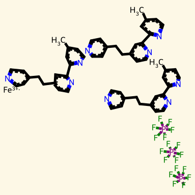 Cc1ccnc(-c2cc(CCc3ccncc3)ccn2)c1.Cc1ccnc(-c2cc(CCc3ccncc3)ccn2)c1.Cc1ccnc(-c2cc(CCc3ccncc3)ccn2)c1.F[P-](F)(F)(F)(F)F.F[P-](F)(F)(F)(F)F.F[P-](F)(F)(F)(F)F.[Fe+3]